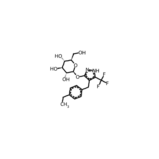 CCc1ccc(Cc2c(O[C@@H]3O[C@H](CO)[C@@H](O)[C@H](O)[C@H]3O)n[nH]c2C(F)(F)F)cc1